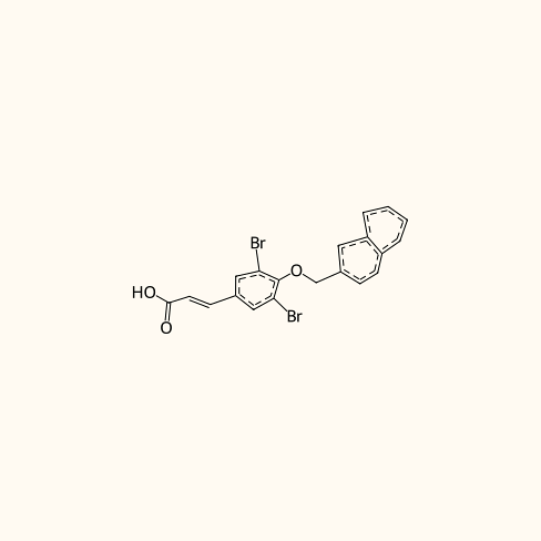 O=C(O)/C=C/c1cc(Br)c(OCc2ccc3ccccc3c2)c(Br)c1